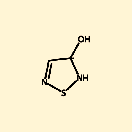 O[C]1C=NSN1